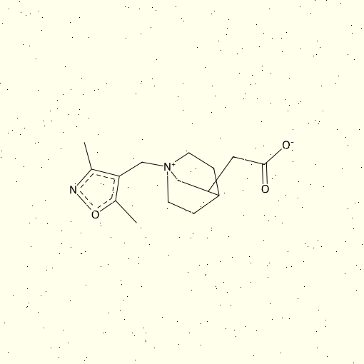 Cc1noc(C)c1C[N+]12CCC(CC1)C(CC(=O)[O-])C2